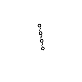 c1ccc(CCc2ccc(SSc3ccc(CCc4ccccc4)cc3)cc2)cc1